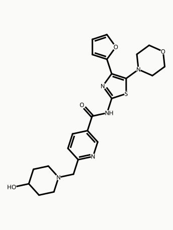 O=C(Nc1nc(-c2ccco2)c(N2CCOCC2)s1)c1ccc(CN2CCC(O)CC2)nc1